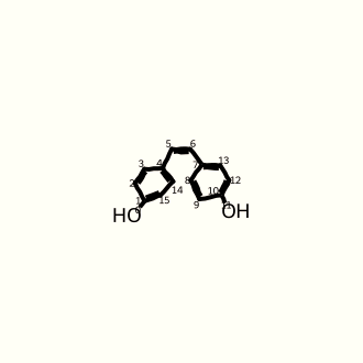 Oc1ccc(/C=C\c2ccc(O)cc2)cc1